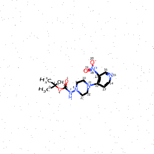 CC(C)(C)OC(=O)NN1CCN(c2ccncc2[N+](=O)[O-])CC1